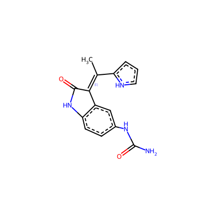 C/C(=C1\C(=O)Nc2ccc(NC(N)=O)cc21)c1ccc[nH]1